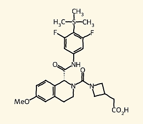 COc1ccc2c(c1)CCN(C(=O)N1CC(CC(=O)O)C1)[C@H]2C(=O)Nc1cc(F)c(S(C)(C)C)c(F)c1